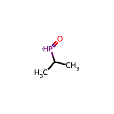 CC(C)[PH]=O